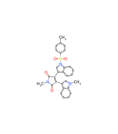 Cc1ccc(S(=O)(=O)n2cc(C3=C(c4cn(C)c5ccccc45)C(=O)N(C)C3=O)c3ccccc32)cc1